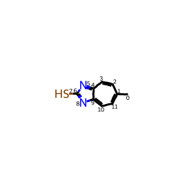 Cc1ccc2nc(S)nc-2cc1